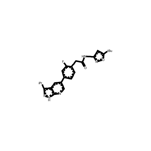 CC(C)c1n[nH]c2ncc(-c3ccc(CC(=O)Nc4cc(C(C)(C)C)on4)c(F)c3)cc12